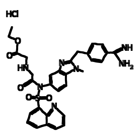 CCOC(=O)CNCC(=O)N(c1ccc2c(c1)nc(Cc1ccc(C(=N)N)cc1)n2C)S(=O)(=O)c1cccc2cccnc12.Cl